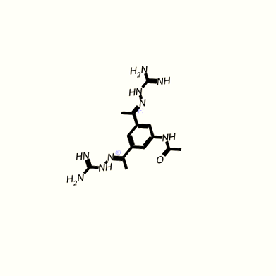 CC(=O)Nc1cc(/C(C)=N/NC(=N)N)cc(/C(C)=N/NC(=N)N)c1